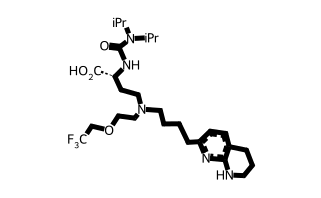 CC(C)N(C(=O)N[C@H](CCN(CCCCc1ccc2c(n1)NCCC2)CCOCC(F)(F)F)C(=O)O)C(C)C